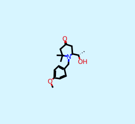 COc1ccc(CN2C([C@H](C)O)CC(=O)CC2(C)C)cc1